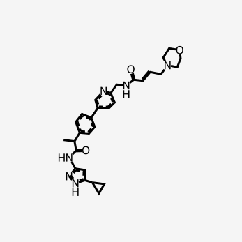 CC(C(=O)Nc1cc(C2CC2)[nH]n1)c1ccc(-c2ccc(CNC(=O)/C=C/CN3CCOCC3)nc2)cc1